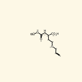 C=CCOCC[C@@H](NC(=O)OC(C)(C)C)C(=O)O